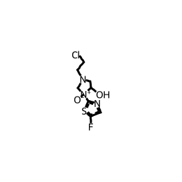 [O-][N+]1(c2ncc(F)s2)CN(CCCl)CC1O